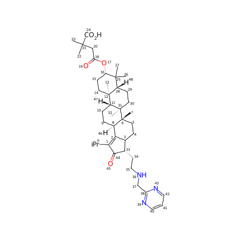 CC(C)C1=C2C(CC[C@]3(C)[C@@H]2CC[C@@H]2[C@@]4(C)CC[C@H](OC(=O)CC(C)(C)C(=O)O)C(C)(C)[C@@H]4CC[C@]23C)[C@H](CCNCc2ncccn2)C1=O